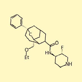 CCOC[C@]12CC3CC(C(=O)N[C@@H]4CCNC[C@H]4F)C1CC[C@@](c1ccccc1)(C3)C2